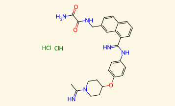 CC(=N)N1CCC(Oc2ccc(NC(=N)c3cccc4ccc(CNC(=O)C(N)=O)cc34)cc2)CC1.Cl.Cl